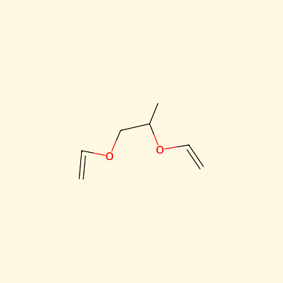 C=COCC(C)OC=C